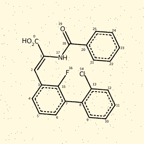 O=C(O)C(=Cc1cccc(-c2ccccc2Cl)c1F)NC(=O)c1ccccc1